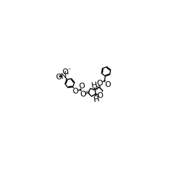 O=C(Oc1ccc([N+](=O)[O-])cc1)O[C@@H]1C[C@@H]2[C@@H](OC(=O)c3ccccc3)CO[C@@H]2C1